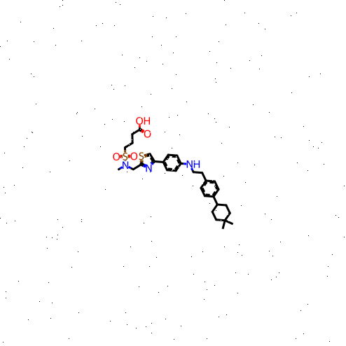 CN(Cc1nc(-c2ccc(NCCc3ccc(C4CCC(C)(C)CC4)cc3)cc2)cs1)S(=O)(=O)CCCC(=O)O